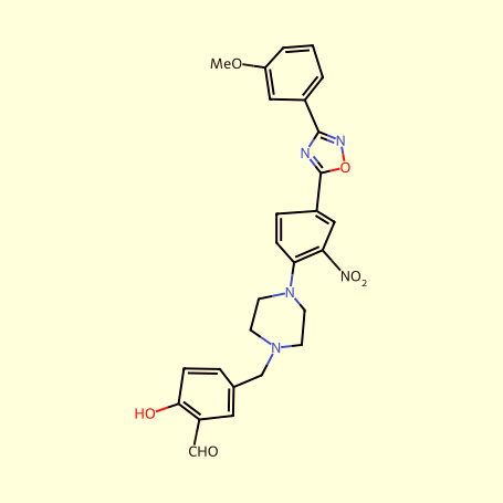 COc1cccc(-c2noc(-c3ccc(N4CCN(Cc5ccc(O)c(C=O)c5)CC4)c([N+](=O)[O-])c3)n2)c1